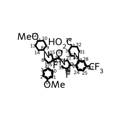 COc1ccc([C@@H]2CN([C@H]3CC[C@H](OC)CC3)C[C@@]2(F)C(=O)N2C[C@H](c3ccc(C(F)(F)F)cc3N3CCC(C(=O)O)CC3)[C@@H](F)C2)cc1